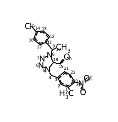 Cc1cc(CN2N=NN(C(C)c3ccc(Cl)cc3)C2C=O)ccc1[N+](=O)[O-]